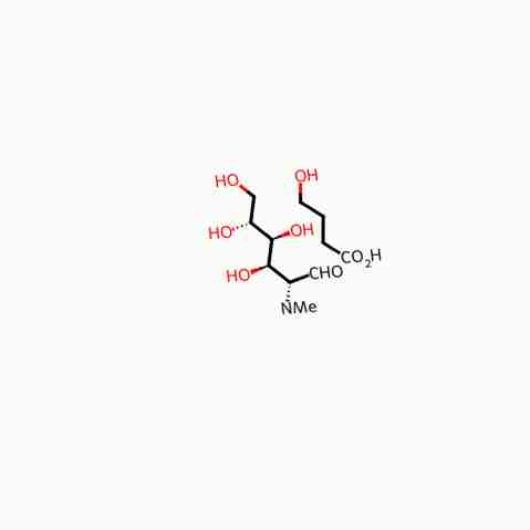 CN[C@@H](C=O)[C@@H](O)[C@H](O)[C@H](O)CO.O=C(O)CCCO